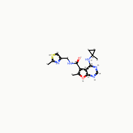 Cc1nc(CNC(=O)c2c(C)oc3ncnc(NC4(C)CC4)c23)cs1